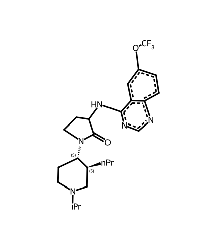 CCC[C@H]1CN(C(C)C)CC[C@@H]1N1CCC(Nc2ncnc3ccc(OC(F)(F)F)cc23)C1=O